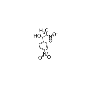 CC(C(O)c1ccc([N+](=O)[O-])cc1)[N+](=O)[O-]